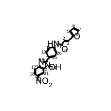 O=C(/C=C/c1ccco1)Nc1ccc(-c2nc3ccc([N+](=O)[O-])cc3n2O)cc1